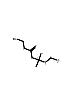 CC(C)(C)CCC(=O)CC(C)(C)SCC(C)(C)C